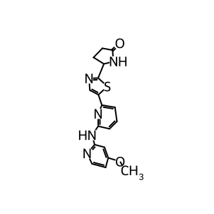 COc1ccnc(Nc2cccc(-c3cnc(C4CCC(=O)N4)s3)n2)c1